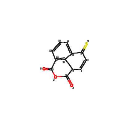 O=C1OC(=O)C2C=CC(=S)c3cccc1c32